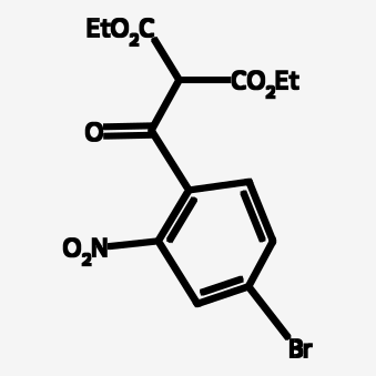 CCOC(=O)C(C(=O)OCC)C(=O)c1ccc(Br)cc1[N+](=O)[O-]